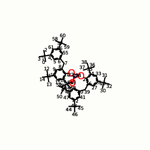 CC(C)(C)c1[c]c(Cc2cc(C(C)(C)C)cc(C(C)(C)C)c2OP2Oc3c(cc(C(C)(C)C)cc3C(C)(C)C)Cc3cc(C(C)(C)C)cc(C(C)(C)C)c3O2)cc(C(C)(C)C)c1